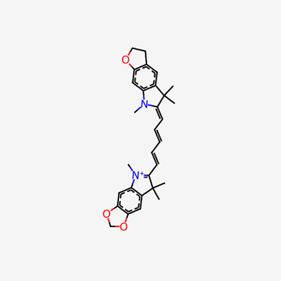 CN1\C(=C/C=C/C=C/C2=[N+](C)c3cc4c(cc3C2(C)C)OCO4)C(C)(C)c2cc3c(cc21)OCC3